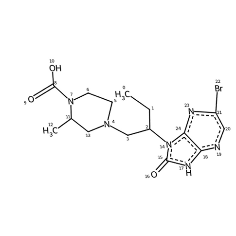 CCC(CN1CCN(C(=O)O)C(C)C1)n1c(=O)[nH]c2ncc(Br)nc21